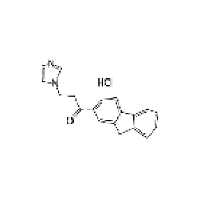 Cl.O=C(CCn1ccnc1)c1ccc2c(c1)Cc1ccccc1-2